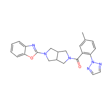 Cc1ccc(-n2nccn2)c(C(=O)N2CC3CN(c4nc5ccccc5o4)CC3C2)c1